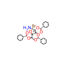 C[C@@H](OC(=O)c1ccccc1)[C@H]1OC(N)(Br)[C@H](OC(=O)c2ccccc2)[C@@H]1OC(=O)c1ccccc1